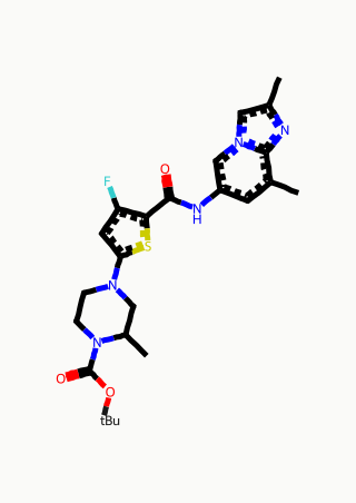 Cc1cn2cc(NC(=O)c3sc(N4CCN(C(=O)OC(C)(C)C)C(C)C4)cc3F)cc(C)c2n1